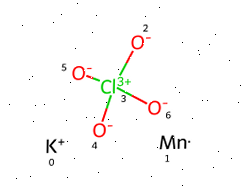 [K+].[Mn].[O-][Cl+3]([O-])([O-])[O-]